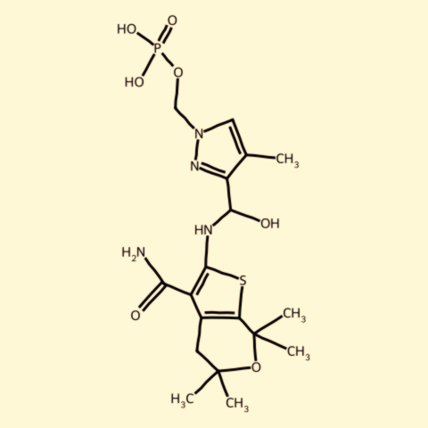 Cc1cn(COP(=O)(O)O)nc1C(O)Nc1sc2c(c1C(N)=O)CC(C)(C)OC2(C)C